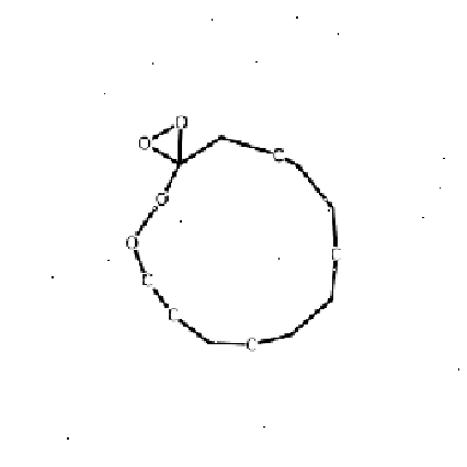 C1CCCCCOOC2(CCCCC1)OO2